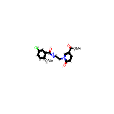 COC(=O)c1ccc(=O)n(CCNC(=O)c2cc(Cl)ccc2OC)c1